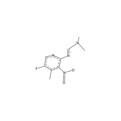 Cc1c(F)cnc(/N=C/N(C)C)c1[N+](=O)[O-]